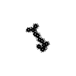 c1ccc(-c2cc(-c3ccc4cc(-c5ccc6cc(-c7cc8c(oc9cccc(-c%10ccccc%10)c98)c8ccccc78)ccc6c5)ccc4c3)nc(-c3ccccc3)n2)cc1